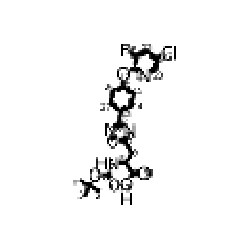 CC(C)(C)OC(=O)NC(Cc1nc(-c2ccc(Oc3ncc(Cl)cc3F)cc2)no1)C(=O)O